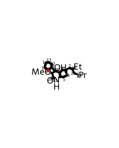 CCC(=Cc1ccc2c(c1)C(O)(c1ccccc1)C(OC)C(=O)N2)CC(C)C